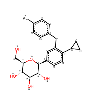 CC(=O)c1ccc(Cc2cc([C@@H]3O[C@H](CO)[C@@H](O)[C@H](O)[C@H]3O)ccc2C2CC2)cc1